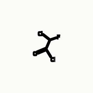 O=C(Cl)C(F)Cl